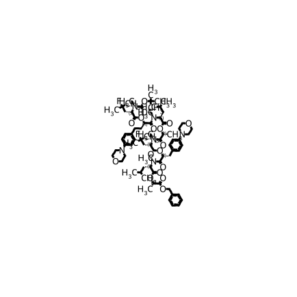 CC(C)C[C@@H](C(=O)O[C@H](C)C(=O)N(C)[C@@H](CC(C)(C)F)C(=O)O[C@H](Cc1ccc(N2CCOCC2)cc1)C(=O)N(C)[C@@H](CC(C)C)C(=O)O[C@H](C)C(=O)OCc1ccccc1)N(C)C(=O)[C@@H](CCc1ccc(N2CCOCC2)cc1)OC(=O)[C@H](CC(C)(C)F)N(C)C(=O)OC(C)(C)C